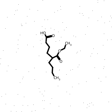 CCCCC(CCCC(=O)O)C(=O)OCC